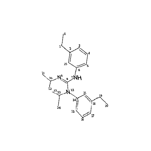 CCc1cccc(NC(=NC(C)C)N(c2cccc(CC)c2)C(C)C)c1